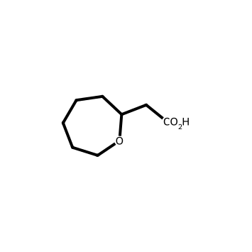 O=C(O)CC1CCCCCO1